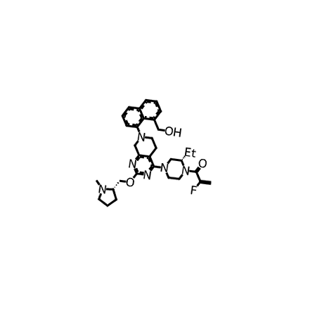 C=C(F)C(=O)N1CCN(c2nc(OC[C@@H]3CCCN3C)nc3c2CCN(c2cccc4cccc(CO)c24)C3)C[C@@H]1CC